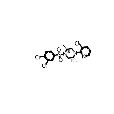 C[C@@H]1CN(S(=O)(=O)c2ccc(Cl)c(Cl)c2)[C@@H](C)CN1c1ncccc1Cl